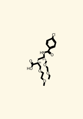 CCOCOC[C@H](C[C@H](COCCOC)C(=O)O)NC(=O)c1ccc(Cl)cc1